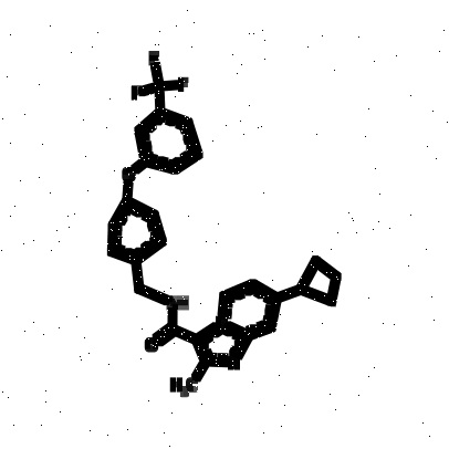 Cc1nc2cc(C3CCC3)ccn2c1C(=O)NCc1ccc(Oc2cccc(C(F)(F)F)c2)cc1